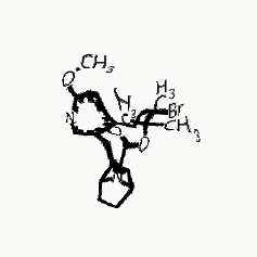 COc1cc(CCBr)c(C2=CC3CCC2N3C(=O)OC(C)(C)C)cn1